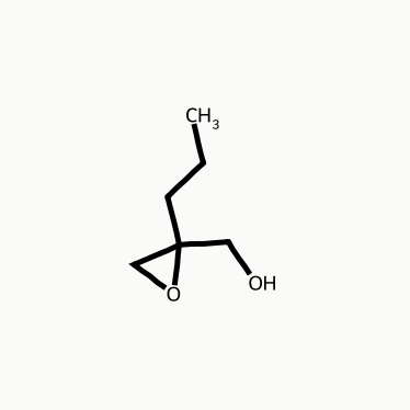 CCCC1(CO)CO1